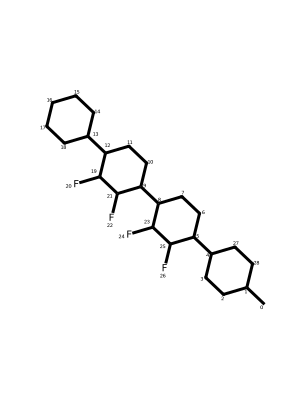 CC1CCC(C2CCC(C3CCC(C4CCCCC4)C(F)C3F)C(F)C2F)CC1